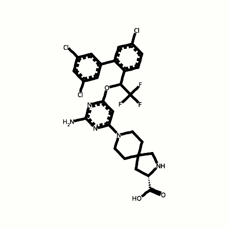 Nc1nc(OC(c2ccc(Cl)cc2-c2cc(Cl)cc(Cl)c2)C(F)(F)F)cc(N2CCC3(CC2)CN[C@H](C(=O)O)C3)n1